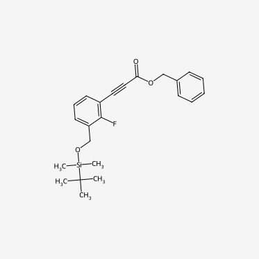 CC(C)(C)[Si](C)(C)OCc1cccc(C#CC(=O)OCc2ccccc2)c1F